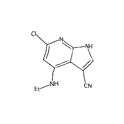 CCNc1cc(Cl)nc2[nH]cc(C#N)c12